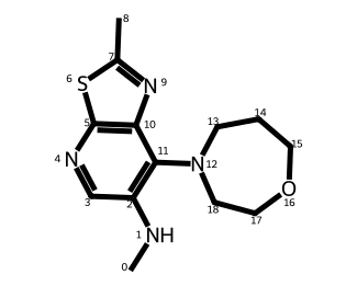 CNc1cnc2sc(C)nc2c1N1CCCOCC1